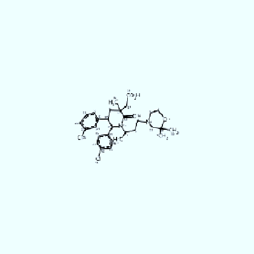 CC(CCN1CCOC(C)(C)C1)N1C(=O)C(C)(CC(=O)O)CC(c2cccc(Cl)c2)C1c1ccc(Cl)cc1